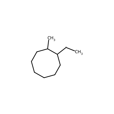 C[CH]C1CCCCCCC1C